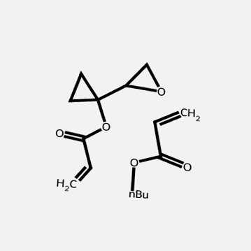 C=CC(=O)OC1(C2CO2)CC1.C=CC(=O)OCCCC